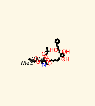 C#CC(C)(C)CC(=O)OCc1c(COC(=O)CC(C#C)(OC)OC)cnc(C)c1OC(=O)CCC/C=C\C[C@@H]1[C@@H](CC[C@@H](O)CCc2ccccc2)[C@H](O)C[C@@H]1O